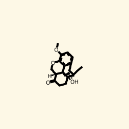 COc1ccc2c3c1OC[C@H]1C(=O)CC[C@@]4(O)C(C2)N(C)CCC314